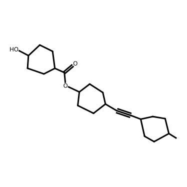 CC1CCC(C#CC2CCC(OC(=O)C3CCC(O)CC3)CC2)CC1